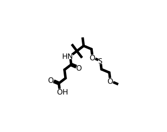 COCCSOCC(C)C(C)(C)NC(=O)CCC(=O)O